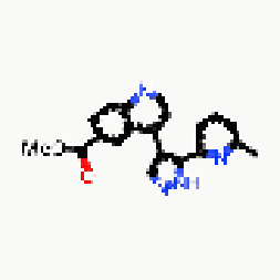 COC(=O)c1ccc2nccc(-c3cn[nH]c3-c3cccc(C)n3)c2c1